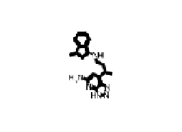 CC1C[C@H](NCCC(C)c2cc(N)nc3[nH]nnc23)c2ccccc21